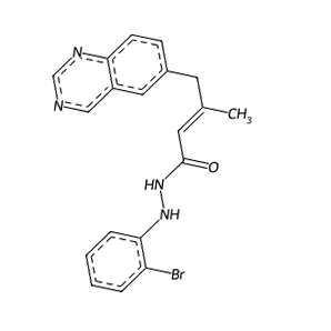 CC(=CC(=O)NNc1ccccc1Br)Cc1ccc2ncncc2c1